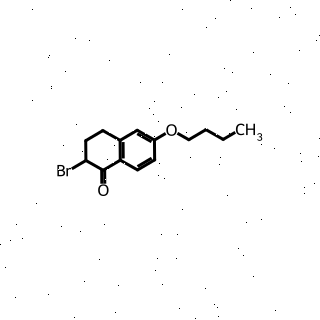 CCCCOc1ccc2c(c1)CCC(Br)C2=O